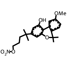 COc1ccc2c(c1)-c1c(O)cc(C(C)(C)CCCO[N+](=O)[O-])cc1OC2(C)C